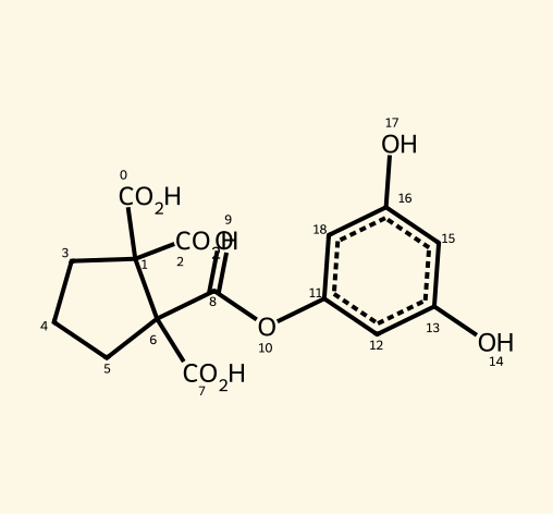 O=C(O)C1(C(=O)O)CCCC1(C(=O)O)C(=O)Oc1cc(O)cc(O)c1